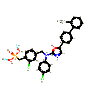 O=C(O)c1ccccc1-c1ccc(-c2cnc(N(Cc3ccc(CP(=O)(OF)OF)c(Cl)c3)c3ccc(Cl)cc3)o2)cc1